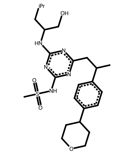 CC(C)CC(CO)Nc1nc(CC(C)c2ccc(C3CCOCC3)cc2)nc(NS(C)(=O)=O)n1